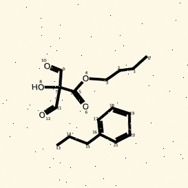 CCCCOC(=O)C(O)(C=O)C=O.CCCc1ccccc1